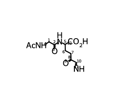 CC(=O)NCC(=O)NC(CCC(=O)C=N)C(=O)O